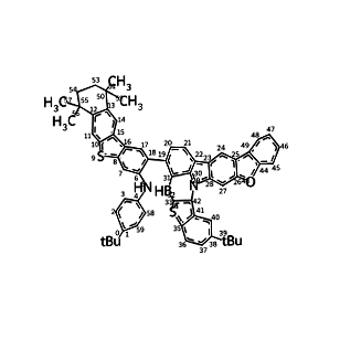 CC(C)(C)c1ccc(Nc2cc3sc4cc5c(cc4c3cc2-c2ccc3c4cc6c(cc4n4c3c2Bc2sc3ccc(C(C)(C)C)cc3c2-4)oc2ccccc26)C(C)(C)CCC5(C)C)cc1